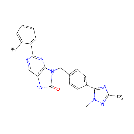 CC(C)c1ccccc1-c1ncc2[nH]c(=O)n(Cc3ccc(-c4nc(C(F)(F)F)nn4C)cc3)c2n1